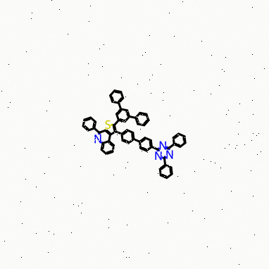 c1ccc(-c2cc(-c3ccccc3)cc(-c3sc4c(-c5ccccc5)nc5ccccc5c4c3-c3ccc(-c4ccc(-c5nc(-c6ccccc6)nc(-c6ccccc6)n5)cc4)cc3)c2)cc1